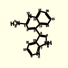 Nc1cc(-c2c[nH]c3ncccc23)c2ccccc2n1